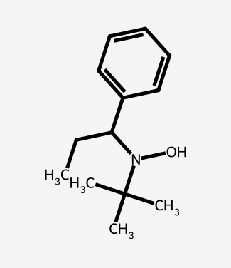 CCC(c1ccccc1)N(O)C(C)(C)C